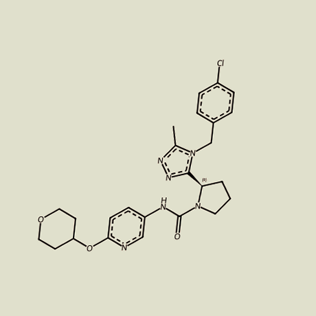 Cc1nnc([C@H]2CCCN2C(=O)Nc2ccc(OC3CCOCC3)nc2)n1Cc1ccc(Cl)cc1